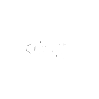 CC1CNCCC(CC(Cc2ccccc2)OC=O)C1=O